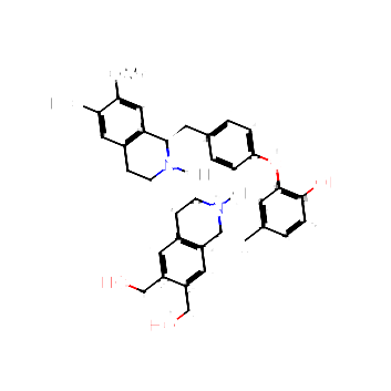 COc1cc2c(cc1C)CCN(C)[C@@H]2Cc1ccc(Oc2cc(C[C@@H]3c4cc(CO)c(CO)cc4CCN3C)ccc2O)cc1